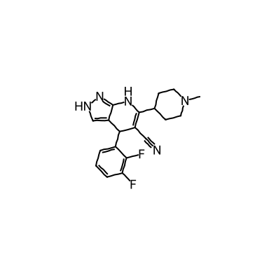 CN1CCC(C2=C(C#N)C(c3cccc(F)c3F)c3c[nH]nc3N2)CC1